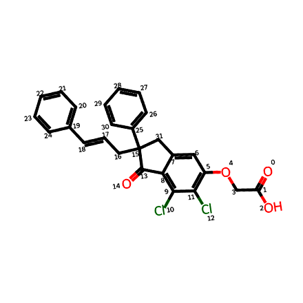 O=C(O)COc1cc2c(c(Cl)c1Cl)C(=O)C(CC=Cc1ccccc1)(c1ccccc1)C2